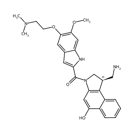 COc1cc2[nH]c(C(=O)N3C[C@@H](CN)c4c3cc(O)c3ccccc43)cc2cc1OCCN(C)C